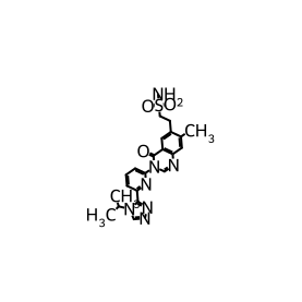 Cc1cc2ncn(-c3cccc(-c4nncn4C(C)C)n3)c(=O)c2cc1CCS(N)(=O)=O